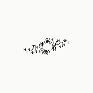 Nc1ncnc2c1ncn2[C@@H]1O[C@@H]2CO[P@@](=O)(S)O[C@@H]3[C@@H](F)[C@@H](CO[P@](=O)(S)O[C@H]2[C@H]1F)O[C@H]3n1cnc2c(N)ncnc21